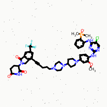 COc1cc(N2CCC(N3CCN(CCCC#Cc4cc(C(F)(F)F)cc5c4CN(C4CCC(=O)NC4=O)C5=O)CC3)CC2)ccc1Nc1ncc(Cl)c(Nc2ccccc2P(C)(C)=O)n1